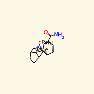 CCCCCN1CC2CCC(C1)C2(OC)c1cccc(C(N)=O)c1